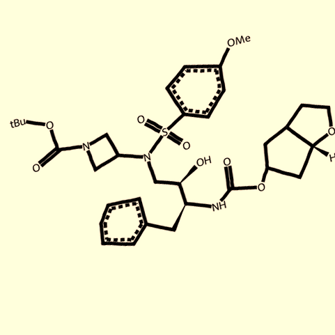 COc1ccc(S(=O)(=O)N(C[C@@H](O)[C@H](Cc2ccccc2)NC(=O)OC2CC3CCO[C@@H]3C2)C2CN(C(=O)OC(C)(C)C)C2)cc1